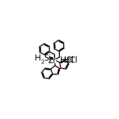 Cl.Cl.[SiH2]=[Zr]([CH2]c1ccccc1)([CH2]c1ccccc1)([C]1=CC=CC1)[CH]1C=Cc2ccccc21